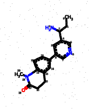 CCC(N)c1cncc(-c2ccc3c(c2)CCC(=O)N3C)c1